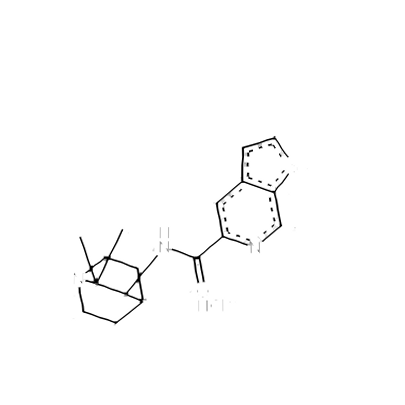 CC1(C)C(NC(=O)c2cc3ccsc3cn2)C2CCN1CC2.Cl